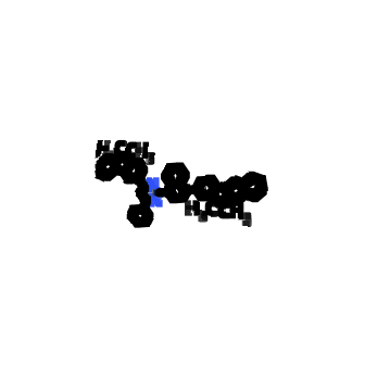 CC1(C)c2ccccc2-c2cc(-c3cc(-c4ccccc4)nc(-c4ccc(-c5ccc6c(c5)C(C)(C)c5cc7ccccc7cc5-6)c5ccccc45)n3)ccc21